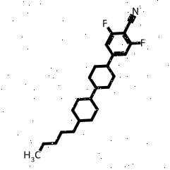 CCCCCC1CCC(C2CCC(c3cc(F)c(C#N)c(F)c3)CC2)CC1